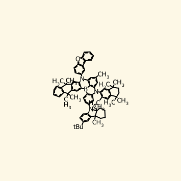 Cc1cc2c3c(c1)N(c1cc4c(cc1C)C(C)(C)CCC4(C)C)c1cc(N4c5ccc(C(C)(C)C)cc5C5(C)CCCCC45C)ccc1B3c1cc3c(cc1N2c1ccc2oc4ccccc4c2c1)C(C)(C)c1ccccc1C3(C)C